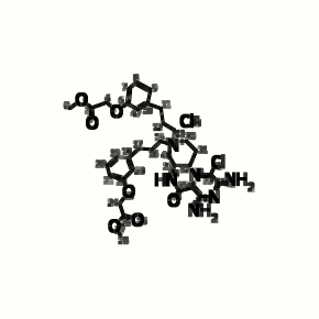 COC(=O)COc1cccc(CCC[N+]2(CCCc3cccc(OCC(=O)OC)c3)CCCC(NC(=O)c3nc(Cl)c(N)nc3N)C2)c1.[Cl-]